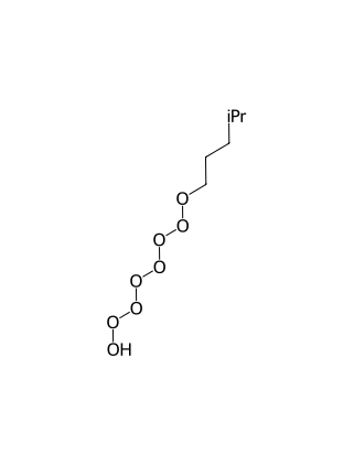 CC(C)CCCOOOOOOOO